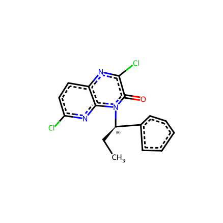 CC[C@H](c1ccccc1)n1c(=O)c(Cl)nc2ccc(Cl)nc21